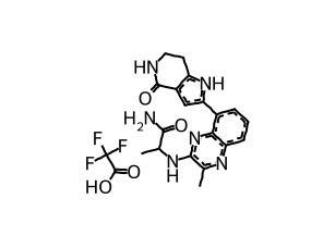 Cc1nc2cccc(-c3cc4c([nH]3)CCNC4=O)c2nc1NC(C)C(N)=O.O=C(O)C(F)(F)F